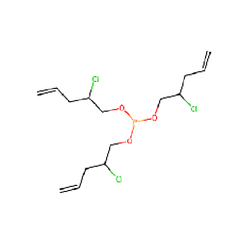 C=CCC(Cl)COP(OCC(Cl)CC=C)OCC(Cl)CC=C